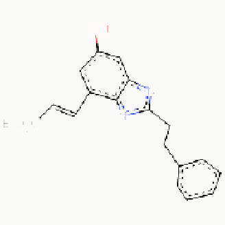 CCOC(=O)C=Cc1cc(O)cc2[nH]c(CCc3ccccc3)nc12